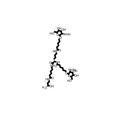 CC(=O)NC1C(OCCCCCC(=O)NCCCC[C@H](NC(=O)CCCCCOC2OC(CO)C(O)C(O)C2NC(C)=O)C(=O)NCCCCCC(=O)NCCC(C)O)OC(CO)C(O)C1O